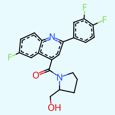 O=C(c1cc(-c2ccc(F)c(F)c2)nc2ccc(F)cc12)N1CCCC1CO